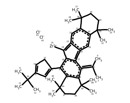 CC(C)=c1c2c(c(C3=CC(C(C)(C)C)=CC3)c3c1=c1cc4c(cc1=[C]3[Zr+2])C(C)(C)CCC4(C)C)C(C)(C)CCC2(C)C.[Cl-].[Cl-]